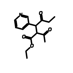 CCOC(=O)C(C(C)=O)C(C(=O)CC)c1cccnc1